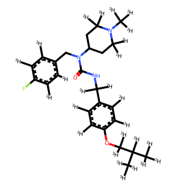 [2H]c1c([2H])c(CN(C(=O)NC([2H])([2H])c2c([2H])c([2H])c(OC([2H])([2H])C([2H])(C([2H])([2H])[2H])C([2H])([2H])[2H])c([2H])c2[2H])C2CC([2H])([2H])N(C([2H])([2H])[2H])C([2H])([2H])C2)c([2H])c([2H])c1F